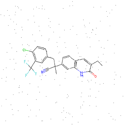 CCc1cc2ccc(C(C)(C#N)Cc3ccc(Cl)c(C(F)(F)F)c3)cc2[nH]c1=O